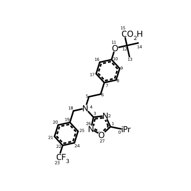 CC(C)c1nc(N(CCc2ccc(OC(C)(C)C(=O)O)cc2)Cc2ccc(C(F)(F)F)cc2)no1